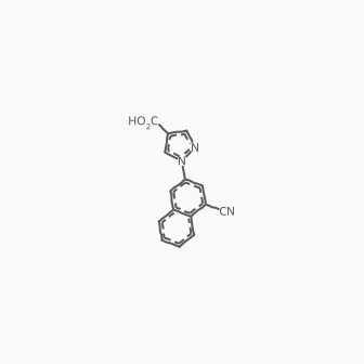 N#Cc1cc(-n2cc(C(=O)O)cn2)cc2ccccc12